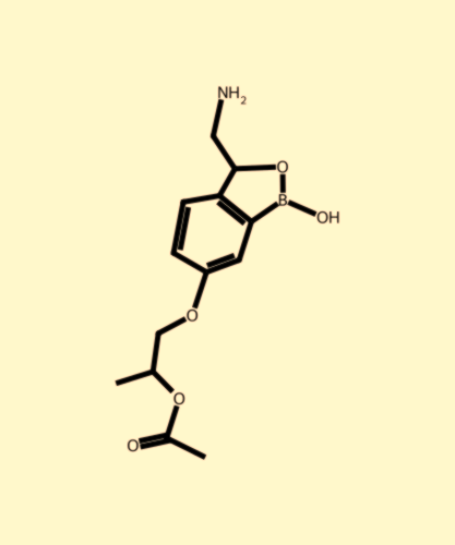 CC(=O)OC(C)COc1ccc2c(c1)B(O)OC2CN